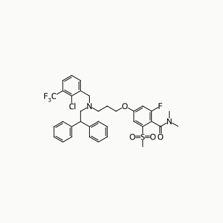 CN(C)C(=O)c1c(F)cc(OCCCN(Cc2cccc(C(F)(F)F)c2Cl)CC(c2ccccc2)c2ccccc2)cc1S(C)(=O)=O